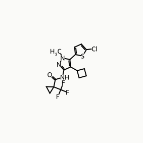 Cn1nc(NC(=O)C2(C(F)(F)F)CC2)c(C2CCC2)c1-c1ccc(Cl)s1